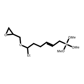 CCC(CCC=CC[Si](OC)(OC)OC)OCC1CO1